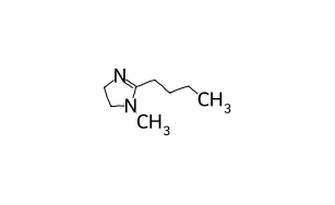 CCCCC1=NCCN1C